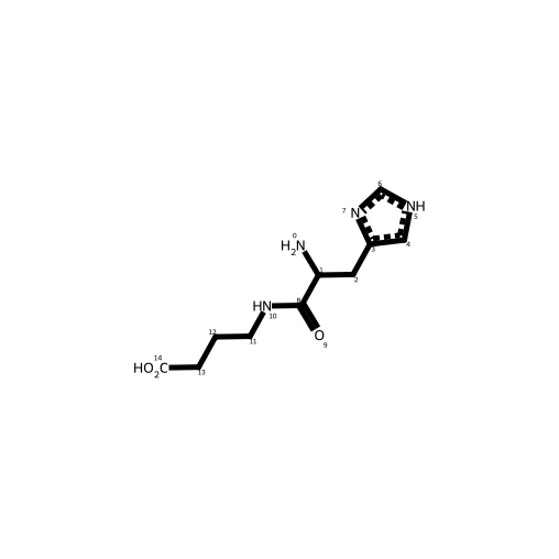 NC(Cc1c[nH]cn1)C(=O)NCCCC(=O)O